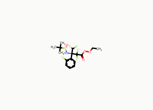 CCOOC(=O)C(F)(F)[C@](N[S@+]([O-])C(C)(C)C)(c1ccccc1F)C(F)F